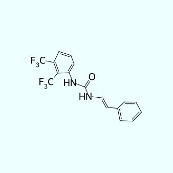 O=C(N/C=C/c1ccccc1)Nc1cccc(C(F)(F)F)c1C(F)(F)F